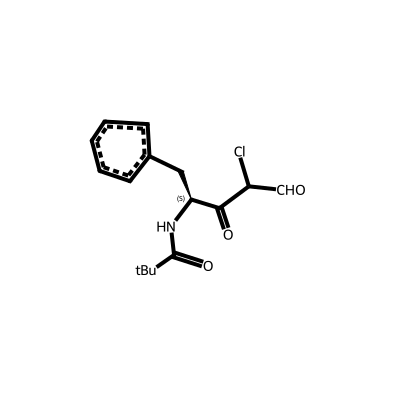 CC(C)(C)C(=O)N[C@@H](Cc1ccccc1)C(=O)C(Cl)C=O